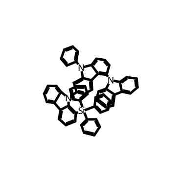 c1ccc(-n2c3cc(-n4c5ccccc5c5cccc([Si](c6ccccc6)(c6ccccc6)c6ccccc6)c54)ccc3c3c(-n4c5ccccc5c5ccccc54)cccc32)cc1